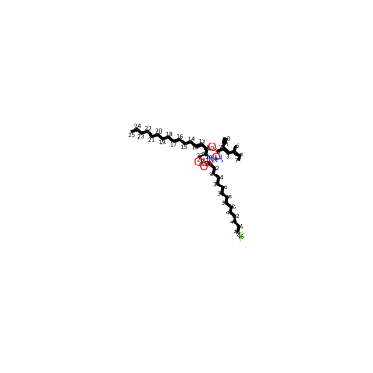 C#C/C(=C\C(C)=C/C)C(=O)O[C@H](/C=C/CCCCCCCCCCCC)[C@H](CO)NC(=O)CCCCCCCCCCCCCCF